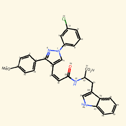 COc1ccc(-c2nn(-c3cccc(Cl)c3)cc2/C=C\C(=O)NC(Cc2c[nH]c3ccccc23)C(=O)O)cc1